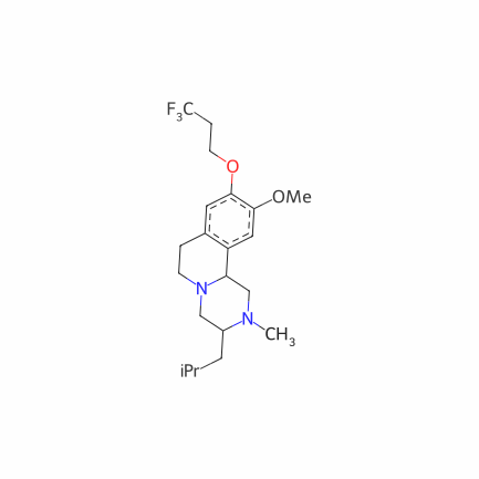 COc1cc2c(cc1OCCC(F)(F)F)CCN1CC(CC(C)C)N(C)CC21